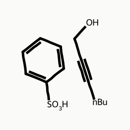 CCCCC#CCO.O=S(=O)(O)c1ccccc1